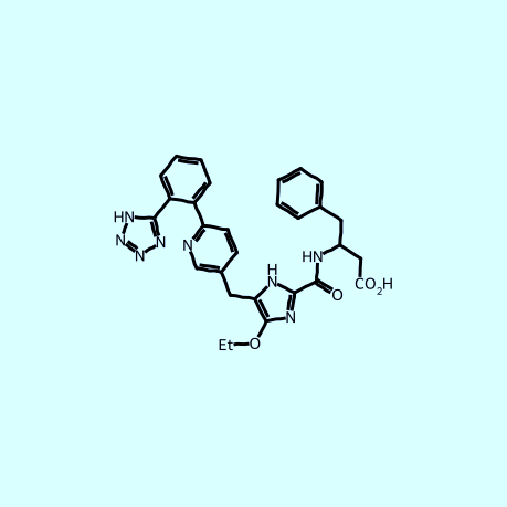 CCOc1nc(C(=O)NC(CC(=O)O)Cc2ccccc2)[nH]c1Cc1ccc(-c2ccccc2-c2nnn[nH]2)nc1